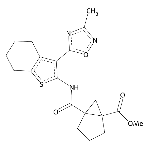 COC(=O)C12CCCC1(C(=O)Nc1sc3c(c1-c1nc(C)no1)CCCC3)C2